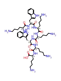 NCCCC[C@H](NC(=O)[C@H](CCCCN)NC(=O)[C@H](Cc1c[nH]c2ccccc12)NC(=O)[C@H](CCCCN)NC(=O)[C@H](CCCCN)NC(=O)[C@H](Cc1c[nH]c2ccccc12)NC(=O)[C@@H](N)CCCCN)C(=O)O